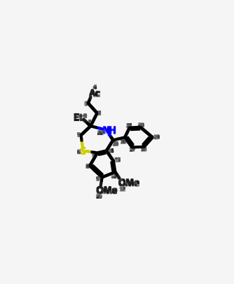 CCC1(CCC(C)=O)CSc2cc(OC)c(OC)cc2C(c2ccccc2)N1